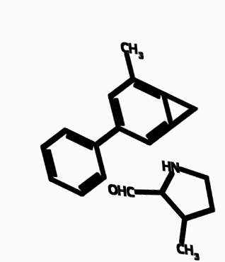 CC1CCNC1C=O.Cc1cc(-c2ccccc2)cc2c1C2